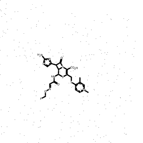 Cc1c[n+](C)ccc1SCC1=C(C(=O)O)N2C(=O)C(c3csc(N)n3)C2C(NC(=O)C=NOCF)S1